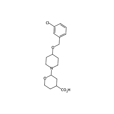 O=C(O)C1CCOC(N2CCC(OCc3cccc(Cl)c3)CC2)C1